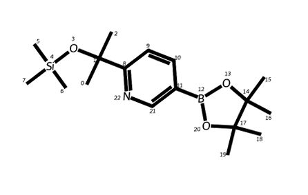 CC(C)(O[Si](C)(C)C)c1ccc(B2OC(C)(C)C(C)(C)O2)cn1